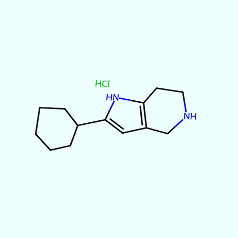 Cl.c1c(C2CCCCC2)[nH]c2c1CNCC2